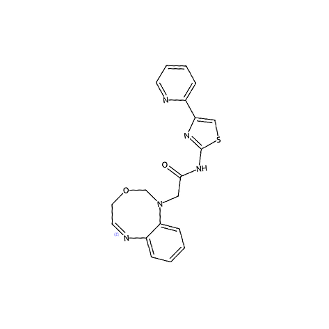 O=C(CN1COC/C=N\c2ccccc21)Nc1nc(-c2ccccn2)cs1